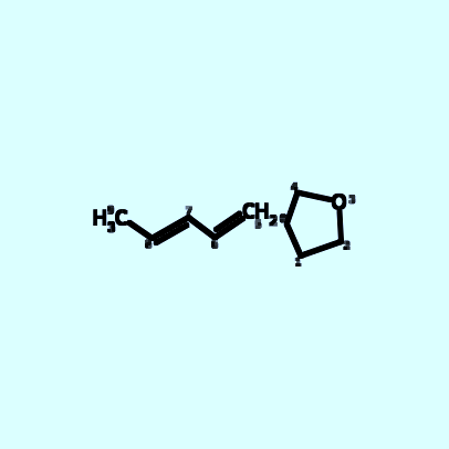 C1CCOC1.C=CC=CC